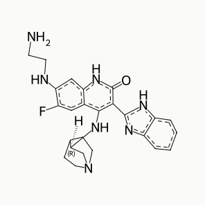 NCCNc1cc2[nH]c(=O)c(-c3nc4ccccc4[nH]3)c(N[C@H]3CN4CCC3CC4)c2cc1F